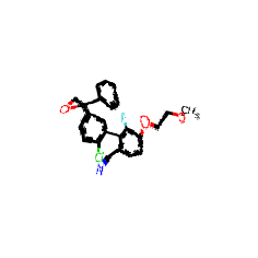 COCCOc1ccc(C#N)c(-c2cc(C3(c4ccccc4)CO3)ccc2Cl)c1F